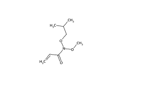 C=CC(=O)N(OC)OCC(C)C